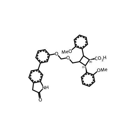 COc1ccccc1C1C(COCOc2cccc(-c3ccc4c(c3)NC(=O)C4)c2)[C@H](c2ccccc2OC)[C@@H]1C(=O)O